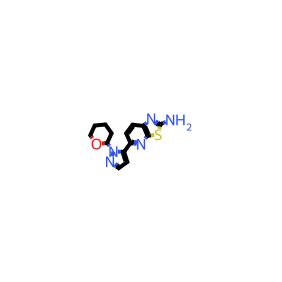 Nc1nc2ccc(-c3ccnn3C3CCCCO3)nc2s1